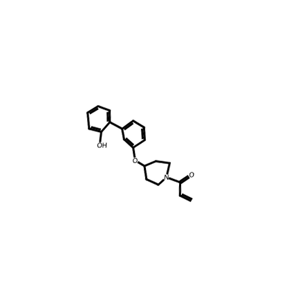 C=CC(=O)N1CCC(Oc2cccc(-c3ccccc3O)c2)CC1